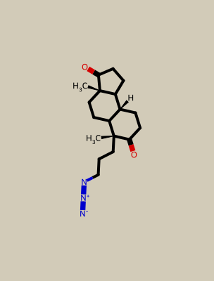 C[C@]1(CCCN=[N+]=[N-])C(=O)CC[C@@H]2C1CC[C@]1(C)C(=O)CCC21